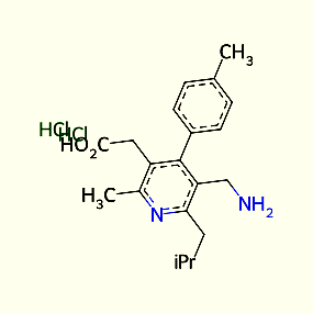 Cc1ccc(-c2c(CC(=O)O)c(C)nc(CC(C)C)c2CN)cc1.Cl.Cl